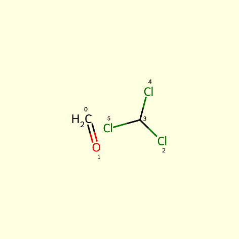 C=O.ClC(Cl)Cl